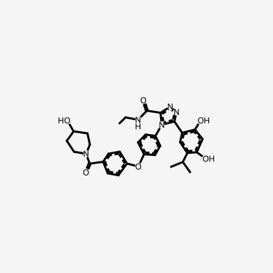 CCNC(=O)c1nnc(-c2cc(C(C)C)c(O)cc2O)n1-c1ccc(Oc2ccc(C(=O)N3CCC(O)CC3)cc2)cc1